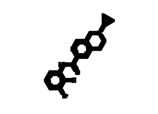 O=C(Nc1cccc(Br)c1Cl)c1cc2c(cn1)CN(C1CC1)CC2